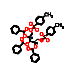 Cc1ccc(S(=O)(=O)OC[C@H](OC(=O)c2ccccc2)C(OC(=O)c2ccccc2)[C@H](COS(=O)(=O)c2ccc(C)cc2)OC(=O)c2ccccc2)cc1